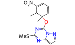 CSc1nc(OC2(C)C=CC=C([N+](=O)[O-])C2C)n2nccc2n1